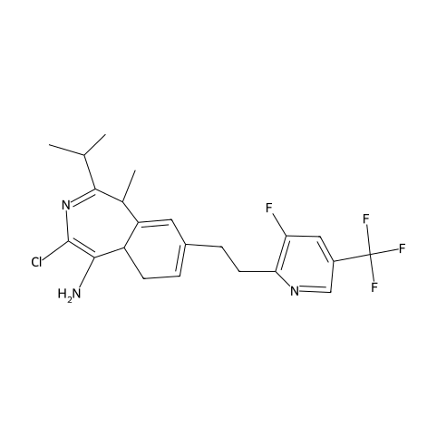 CC(C)C1=NC(Cl)=C(N)C2CC=C(CCc3ncc(C(F)(F)F)cc3F)C=C2C1C